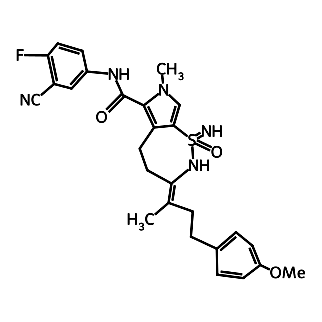 COc1ccc(CC/C(C)=C2/CCc3c(cn(C)c3C(=O)Nc3ccc(F)c(C#N)c3)S(=N)(=O)N2)cc1